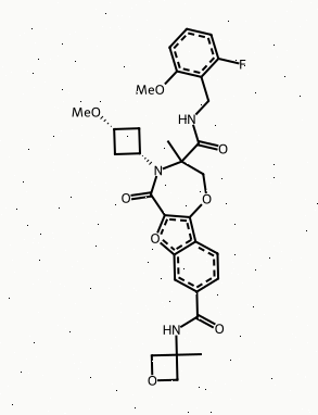 COc1cccc(F)c1CNC(=O)C1(C)COc2c(oc3cc(C(=O)NC4(C)COC4)ccc23)C(=O)N1[C@H]1C[C@@H](OC)C1